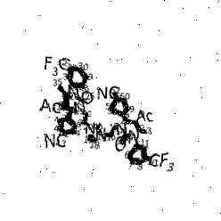 CC(=O)C1=C(C)N(c2cccc(C(F)(F)F)c2)C(=O)N(CCn2cc[n+](CCN3C(=O)N(c4cccc(C(F)(F)F)c4)C(C)=C(C(C)=O)C3c3ccc(C#N)cc3)c2)C1c1ccc(C#N)cc1